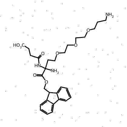 NCCCOCCOCCOCCC(N)(NC(=O)CCC(=O)O)C(=O)OCC1c2ccccc2-c2ccccc21